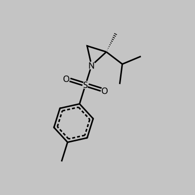 Cc1ccc(S(=O)(=O)N2C[C@@]2(C)C(C)C)cc1